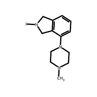 CN1CCN(c2cccc3c2CN(I)C3)CC1